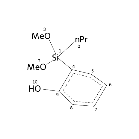 CCC[Si](OC)(OC)c1ccccc1O